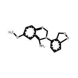 COc1ccc2c(c1)=C(N)N(c1cccc3c1COO3)CN=2